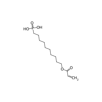 C=CC(=O)OCCCCCCCCCCP(=O)(O)O